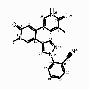 Cc1cc(-c2cc(=O)n(C)cc2-c2cnn(-c3ccccc3C#N)c2)c[nH]c1=O